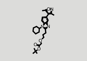 Cc1noc(C)c1-c1ccc2c(c1)nc(CCCOCC(=O)OC(C)(C)C)n2C1CCCCC1